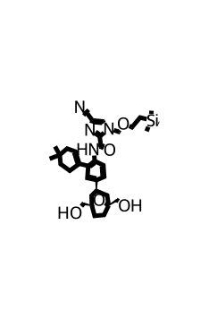 CC1(C)CC=C(c2cc([C@H]3C[C@]4(CO)CC[C@](CO)(C3)O4)ccc2NC(=O)c2nc(C#N)cn2COCC[Si](C)(C)C)CC1